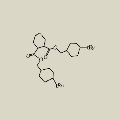 CC(C)(C)C1CCC(COC(=O)C2CCCCC2C(=O)OCC2CCC(C(C)(C)C)CC2)CC1